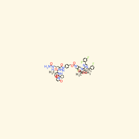 CC(C)[C@H](NC(=O)C1(N2C(=O)C=CC2=O)CCCC1)C(=O)N[C@@H](CCCNC(N)=O)C(=O)Nc1ccc(COC(=O)N2C[C@@H](CN(C(=O)[C@H](C)O)[C@@H](c3nc(-c4cc(F)ccc4F)cn3Cc3cccc(F)c3)C(C)(C)C)[C@@H](F)C2)cc1